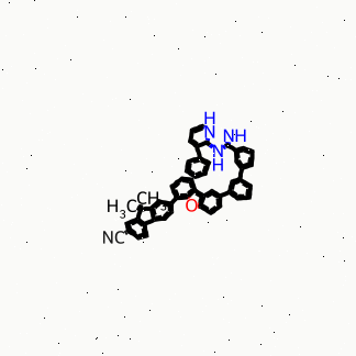 CC1(C)c2cc(C#N)ccc2-c2ccc(-c3cccc4c3oc3ccc(-c5cccc(-c6cccc(C(=N)NC7NC=CC=C7c7ccccc7)c6)c5)cc34)cc21